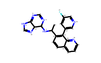 CC(NC1N=CN=C2NC=NC21)c1ccc2cccnc2c1-c1cncc(F)c1